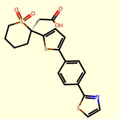 O=C(O)C[C@]1(c2ccc(-c3ccc(-c4nccs4)cc3)s2)CCCCS1(=O)=O